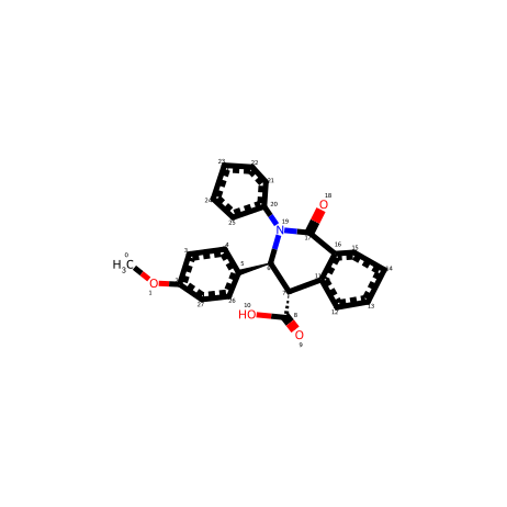 COc1ccc([C@@H]2[C@@H](C(=O)O)c3ccccc3C(=O)N2c2ccccc2)cc1